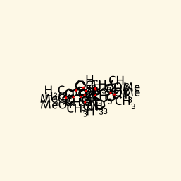 COc1c(C)cc(C2C=CC=CC3=C2C=C(C)[C]32[SiH](C)[C]3(C(C)=CC4=C3C=CC=CC4c3cc(C)c(OC)c(C)c3)[Zr]23([Cl])([Cl])[C]2(C(C)=CC4=C2C=CC=CC4c2cc(C)c(OC)c(C)c2)[SiH](C)[C]32C(C)=CC3=C2C=CC=CC3c2cc(C)c(OC)c(C)c2)cc1C